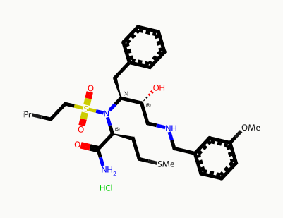 COc1cccc(CNC[C@@H](O)[C@H](Cc2ccccc2)N([C@@H](CCSC)C(N)=O)S(=O)(=O)CCC(C)C)c1.Cl